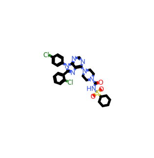 O=C(NS(=O)(=O)C1CCCCC1)N1CCN(c2ncnc3c2nc(-c2ccccc2Cl)n3-c2ccc(Cl)cc2)CC1